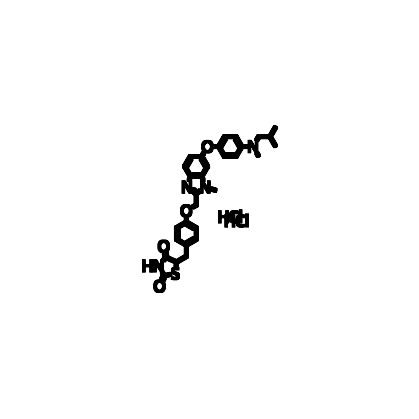 CC(C)CN(C)c1ccc(Oc2ccc3nc(COc4ccc(CC5SC(=O)NC5=O)cc4)n(C)c3c2)cc1.Cl.Cl